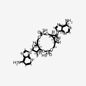 Nc1ccnc2c1ncn2[C@@H]1O[C@@H]2CO[P@@](=O)(S)O[C@@H]3[C@H](O)[C@@H](COP(=O)(S)O[C@H]2[C@H]1F)O[C@H]3n1cnc2c(N)ncnc21